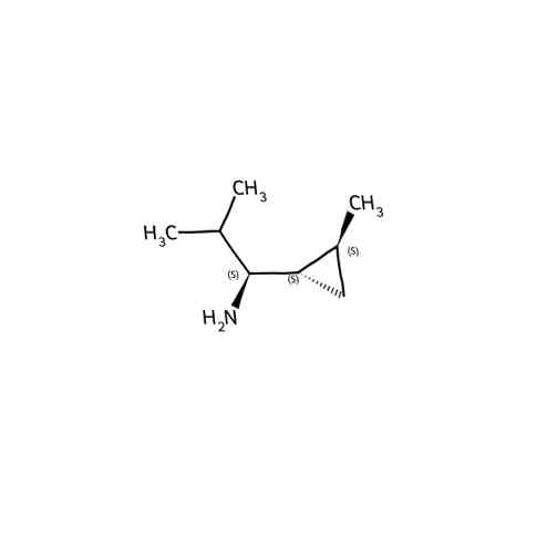 CC(C)[C@H](N)[C@H]1C[C@@H]1C